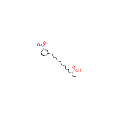 CCC(CCCCCCCC/C=C/c1cccc([N+](=O)[O-])c1)C(=O)O